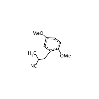 COc1ccc(OC)c(CC(C)C#N)c1